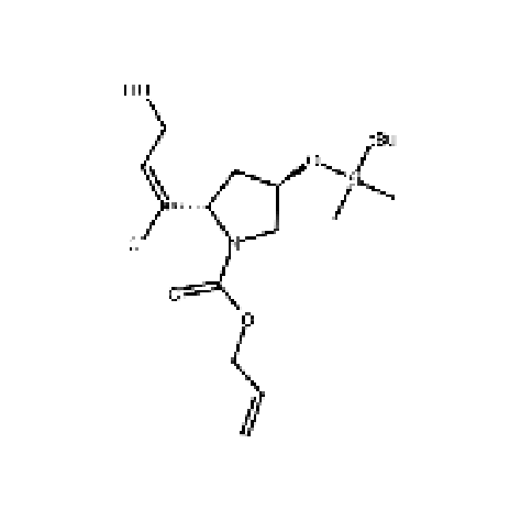 C=CCOC(=O)N1C[C@H](O[Si](C)(C)C(C)(C)C)C[C@H]1/C(Cl)=C\CO